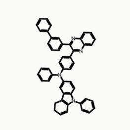 C1=Cc2c(c3cc(N(c4ccccc4)c4ccc(-c5nc6ccccc6nc5-c5cccc(-c6ccccc6)c5)cc4)ccc3n2-c2ccccc2)CC1